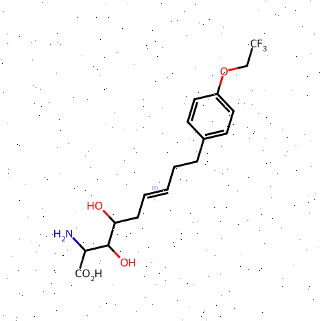 NC(C(=O)O)C(O)C(O)C/C=C/CCc1ccc(OCC(F)(F)F)cc1